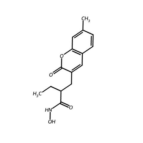 CCC(Cc1cc2ccc(C)cc2oc1=O)C(=O)NO